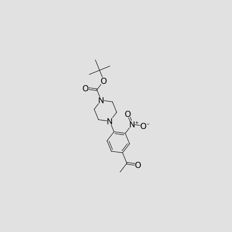 CC(=O)c1ccc(N2CCN(C(=O)OC(C)(C)C)CC2)c([N+](=O)[O-])c1